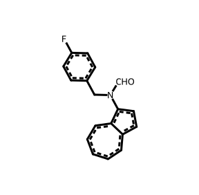 O=CN(Cc1ccc(F)cc1)c1ccc2cccccc1-2